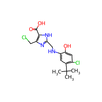 CC(C)(C)c1cc(NCc2nc(CCl)c(C(=O)O)[nH]2)c(O)cc1Cl